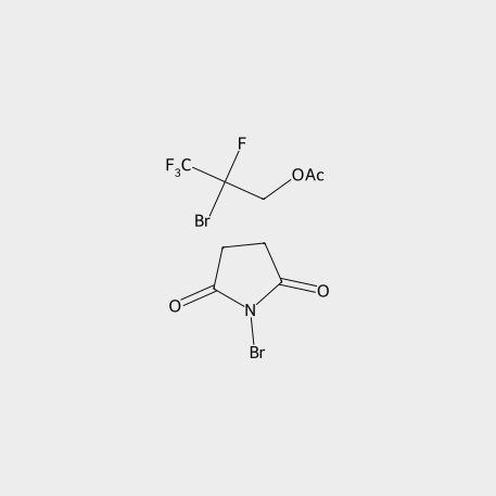 CC(=O)OCC(F)(Br)C(F)(F)F.O=C1CCC(=O)N1Br